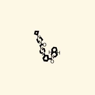 O=C(CN1CCN(c2cccc(C(=O)N3CC[C@H]4CCCC[C@@H]4C3)c2)CC1)N1CCN(C2CCC2)CC1